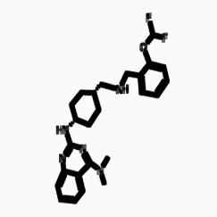 CN(C)c1nc(N[C@H]2CC[C@@H](CNCc3ccccc3OC(F)F)CC2)nc2ccccc12